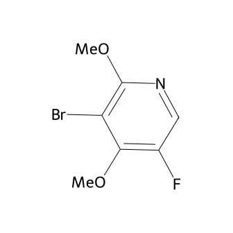 COc1ncc(F)c(OC)c1Br